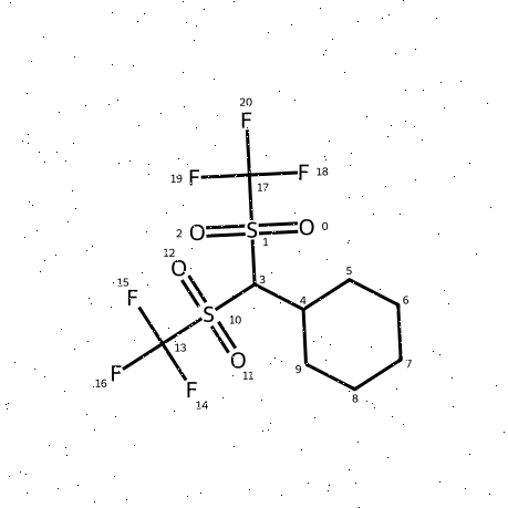 O=S(=O)(C(C1CCCCC1)S(=O)(=O)C(F)(F)F)C(F)(F)F